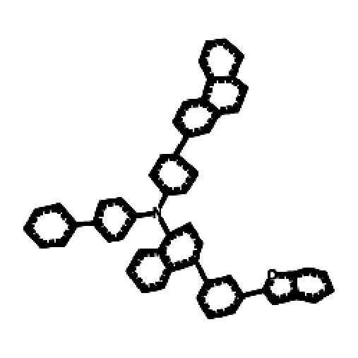 c1ccc(-c2ccc(N(c3ccc(-c4ccc5c(ccc6ccccc65)c4)cc3)c3ccc(-c4cccc(-c5cc6ccccc6o5)c4)c4ccccc34)cc2)cc1